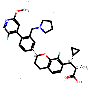 COc1cc(-c2ccc([C@H]3CCc4ccc([C@H](C5CC5)[C@H](C)C(=O)O)c(F)c4O3)cc2CN2CCCC2)c(F)cn1